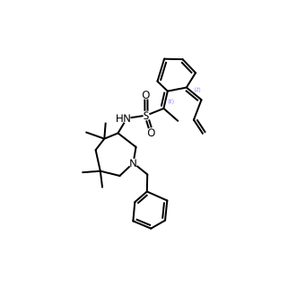 C=C/C=c1/cccc/c1=C(/C)S(=O)(=O)NC1CN(Cc2ccccc2)CC(C)(C)CC1(C)C